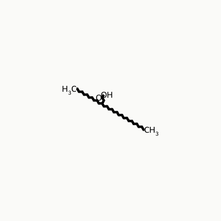 CCCCCCCCCCCCCCCCCCC(CCCCCCCCCCC)CC(=O)O